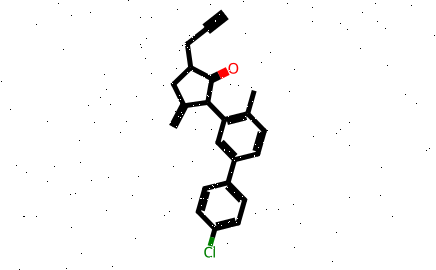 C#CCC1CC(=C)C(c2cc(-c3ccc(Cl)cc3)ccc2C)C1=O